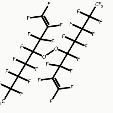 FC(F)=C(F)C(F)(F)C(F)(OOC(F)(C(F)(F)C(F)=C(F)F)C(F)(F)C(F)(F)C(F)(F)C(F)(F)F)C(F)(F)C(F)(F)C(F)(F)C(F)(F)F